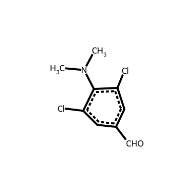 CN(C)c1c(Cl)cc(C=O)cc1Cl